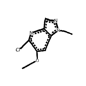 COc1cc2c(cnn2C)nc1Cl